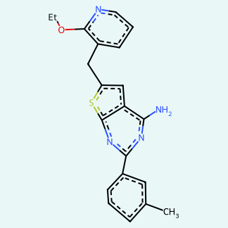 CCOc1ncccc1Cc1cc2c(N)nc(-c3cccc(C)c3)nc2s1